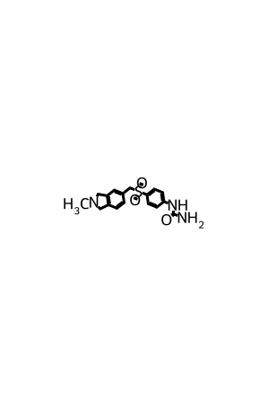 CN1Cc2ccc(CS(=O)(=O)c3ccc(NC(N)=O)cc3)cc2C1